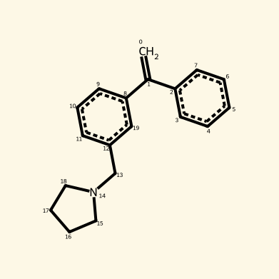 C=C(c1ccccc1)c1cccc(CN2CCCC2)c1